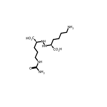 NCCCC[C@H](NN[C@@H](CCCNC(N)=O)C(=O)O)C(=O)O